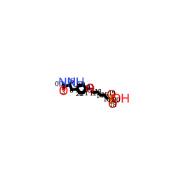 CNC(=O)[C@@H](N)Cc1ccc(OCCCCCS(=O)(=O)O)cc1